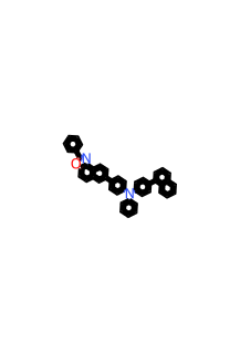 c1ccc(-c2nc3c(ccc4cc(-c5ccc(N(c6ccccc6)c6ccc(-c7cccc8ccccc78)cc6)cc5)ccc43)o2)cc1